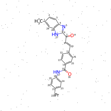 Cc1ccc2nc(C(=O)C=Cc3ccc(C(=O)Nc4ccc(C(C)C)cc4)cc3)[nH]c2c1